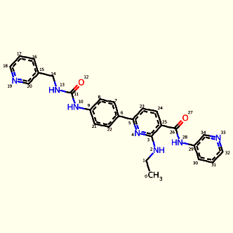 CCNc1nc(-c2ccc(NC(=O)NCc3cccnc3)cc2)ccc1C(=O)Nc1cccnc1